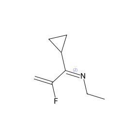 C=C(F)/C(=N\CC)C1CC1